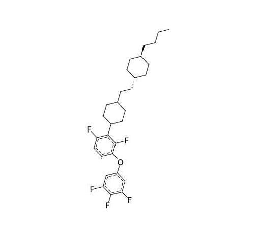 CCCC[C@H]1CC[C@H](CCC2CCC(c3c(F)c[c]c(Oc4cc(F)c(F)c(F)c4)c3F)CC2)CC1